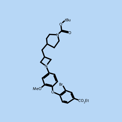 CCOC(=O)c1ccc(Oc2ccc(N3CC(CC4CCN(C(=O)OC(C)(C)C)CC4)C3)cc2OC)c(Br)c1